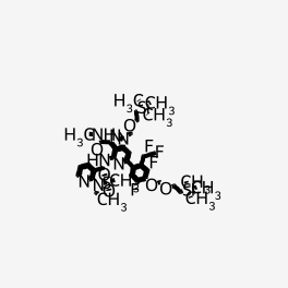 CCN(c1ncccc1CNc1nc(-c2cc(F)c(OCOCC[Si](C)(C)C)cc2CC(F)(F)F)cc2c1c(C(=O)NC)nn2COCC[Si](C)(C)C)S(C)(=O)=O